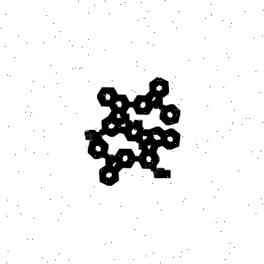 CC(C)(C)c1cc(-c2ccc3c(c2)c2ccccc2n3-c2ccccc2)c2c(c1)c1c3ccccc3cc3c4nc5c(cc4n2c31)c1cc(C(C)(C)C)cc2c3c4ccccc4cc(-c4ccc6c(c4)c4ccccc4n6-c4ccccc4)c3n5c12